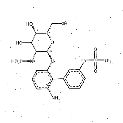 Nc1cccc(O[C@@H]2OC(CO)[C@H](O)C(O)C2NC(=O)O)c1-c1cccc(NS(=O)(=O)C(F)(F)F)c1